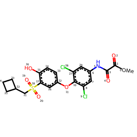 COC(=O)C(=O)Nc1cc(Cl)c(Oc2ccc(O)c(S(=O)(=O)CC3CCC3)c2)c(Cl)c1